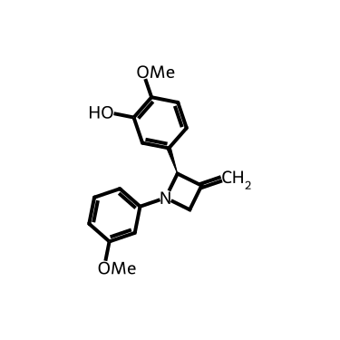 C=C1CN(c2cccc(OC)c2)[C@H]1c1ccc(OC)c(O)c1